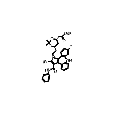 CC(C)COC(=O)C[C@H]1C[C@@H](CCn2c(-c3ccc(F)cc3O)c(-c3ccccc3)c(C(=O)Nc3ccccc3)c2C(C)C)OC(C)(C)O1